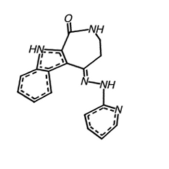 O=C1NCCC(=NNc2ccccn2)c2c1[nH]c1ccccc21